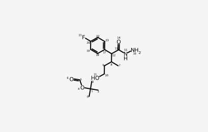 CC(C)(C)OC=O.CC(CCO)C(C(=O)NN)c1ccc(F)cc1